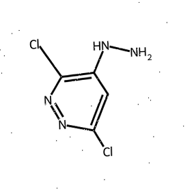 NNc1cc(Cl)nnc1Cl